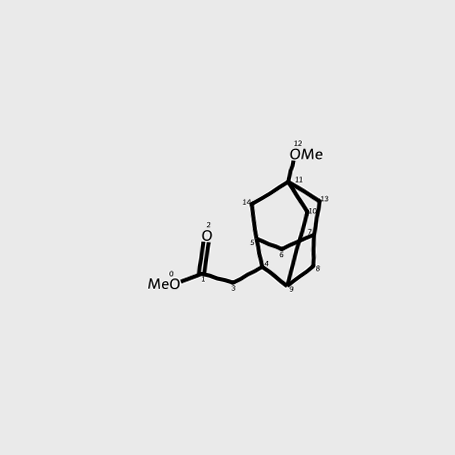 COC(=O)CC1C2CC3CC1CC(OC)(C3)C2